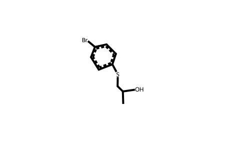 CC(O)CSc1ccc(Br)cc1